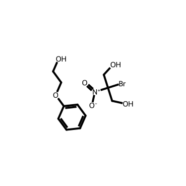 O=[N+]([O-])C(Br)(CO)CO.OCCOc1ccccc1